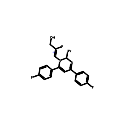 CC(C)C1N=C(c2ccc(F)cc2)C=C(c2ccc(F)cc2)N1/C=C(\F)CO